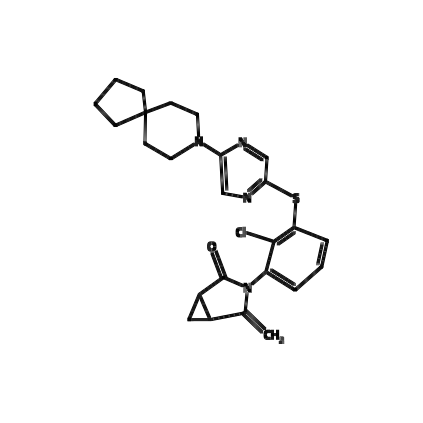 C=C1C2CC2C(=O)N1c1cccc(Sc2cnc(N3CCC4(CCCC4)CC3)cn2)c1Cl